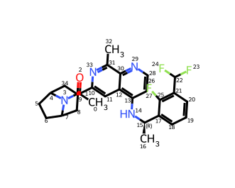 CC(=O)N1C2CCC1CC(c1cc3c(N[C@H](C)c4cccc(C(F)F)c4F)ccnc3c(C)n1)C2